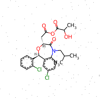 CC(C)CN1C(=O)[C@@H](CC(=O)OC(=O)C(C)O)O[C@H](c2ccccc2Cl)c2cc(Cl)ccc21